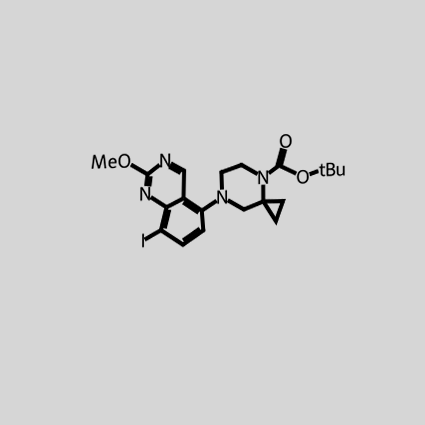 COc1ncc2c(N3CCN(C(=O)OC(C)(C)C)C4(CC4)C3)ccc(I)c2n1